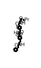 CC(C)OC(=O)CNC(=O)c1ccc(C(=O)NS(=O)(=O)c2ccc(CCNC(=O)Cc3ccccc3)cc2)cn1